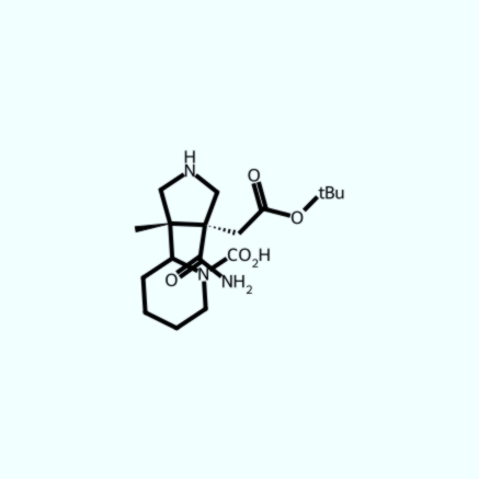 CC(C)(C)OC(=O)C[C@@]1(C(N)=O)CNC[C@@]1(C)C1CCCCN1C(=O)O